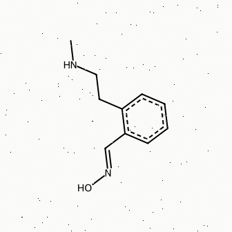 CNCCc1ccccc1C=NO